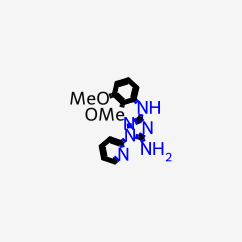 COc1cccc(Nc2nc(N)n(-c3ccccn3)n2)c1OC